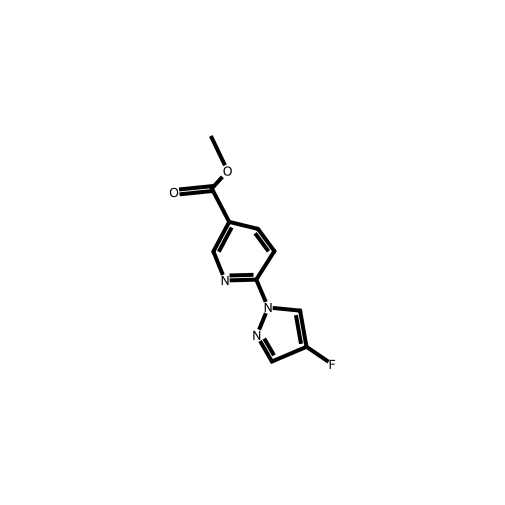 COC(=O)c1ccc(-n2cc(F)cn2)nc1